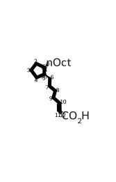 CCCCCCCC[C@H]1CCC[C@@H]1CCCCC=CC(=O)O